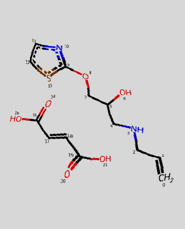 C=CCNCC(O)COc1nccs1.O=C(O)C=CC(=O)O